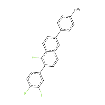 CCCc1ccc(-c2ccc3c(F)c(-c4ccc(F)c(F)c4)ccc3c2)cc1